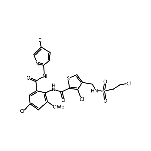 COc1cc(Cl)cc(C(=O)Nc2ccc(Cl)cn2)c1NC(=O)c1scc(CNS(=O)(=O)CCCl)c1Cl